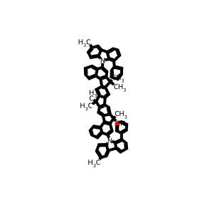 Cc1ccc2c(c1)c1cccc(-c3ccccc3)c1n2-c1cc2c(c3ccccc13)-c1cc3c(cc1C2(C)C)-c1cc2c(cc1C3(C)C)-c1c(cc(-n3c4ccc(C)cc4c4cccc(-c5ccccc5)c43)c3ccccc13)C2(C)C